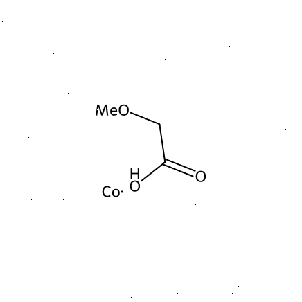 COCC(=O)O.[Co]